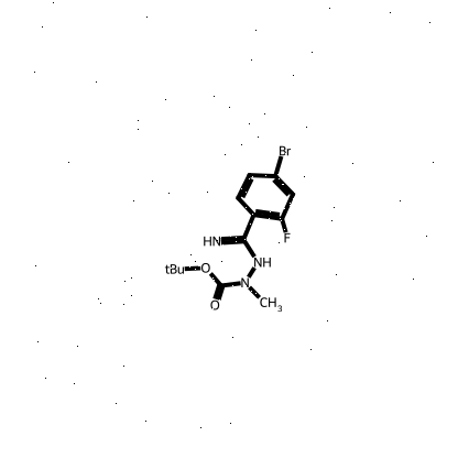 CN(NC(=N)c1ccc(Br)cc1F)C(=O)OC(C)(C)C